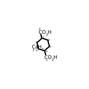 O=C(O)C1CCC(C(=O)O)CC1.[CaH2]